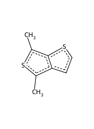 Cc1sc(C)c2sccc12